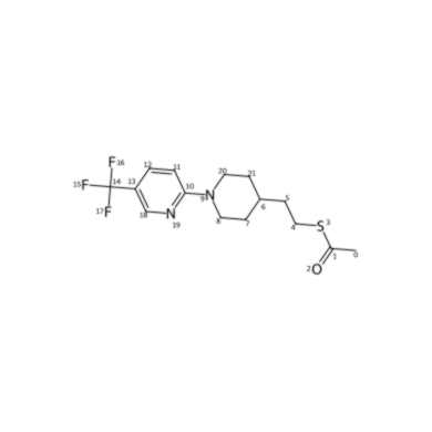 CC(=O)SCCC1CCN(c2ccc(C(F)(F)F)cn2)CC1